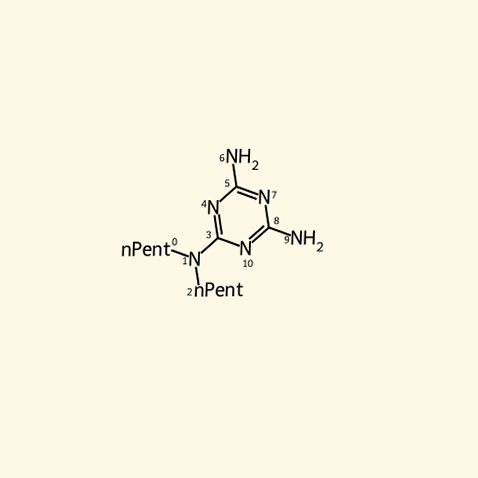 CCCCCN(CCCCC)c1nc(N)nc(N)n1